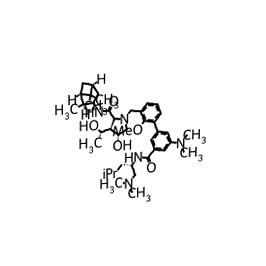 COc1c(CN2C[C@H](O)[C@@H]([C@H](C)O)C2C(=O)NC2C[C@H]3C[C@@H]([C@@H]2C)C3(C)C)cccc1-c1cc(C(=O)N[C@@H](CC(C)C)CN(C)C)cc(N(C)C)c1